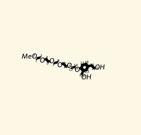 COCCOCCOCCOCCOCCOc1ccc(CCO)cc1CO